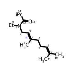 CCN(C/C=C(\C)CCC=C(C)C)C(=O)C(C)C